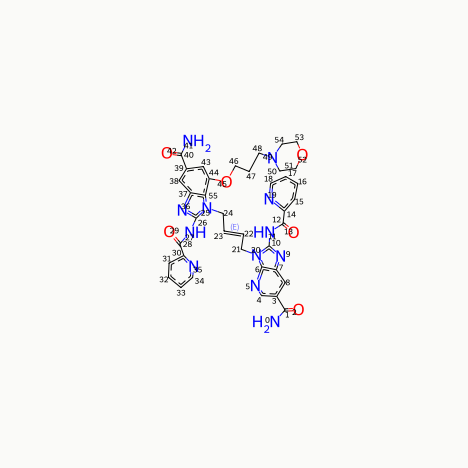 NC(=O)c1cnc2c(c1)nc(NC(=O)c1ccccn1)n2C/C=C/Cn1c(NC(=O)c2ccccn2)nc2cc(C(N)=O)cc(OCCCN3CCOCC3)c21